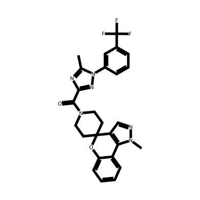 Cc1nc(C(=O)N2CCC3(CC2)Oc2ccccc2-c2c3cnn2C)nn1-c1cccc(C(F)(F)F)c1